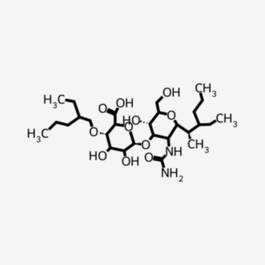 CCCC(CC)CO[C@@H]1C(C(=O)O)O[C@@H](OC2C(NC(N)=O)C([C@H](C)C(CC)CCC)OC(CO)[C@H]2O)C(O)C1O